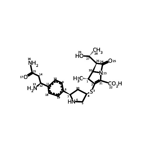 C[C@H]1C(S[C@@H]2CN[C@@H](c3ccc([C@@H](N)CC(N)=O)cc3)C2)=C(C(=O)O)N2C(=O)[C@H]([C@@H](C)O)C12